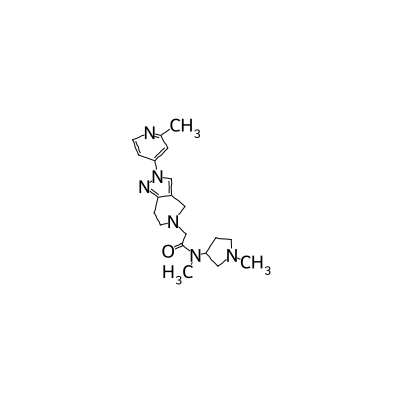 Cc1cc(-n2cc3c(n2)CCN(CC(=O)N(C)C2CCN(C)C2)C3)ccn1